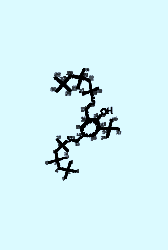 CC(C)(C)CC(C)(C)CC(C)(C)SCc1cc(CSC(C)(C)CC(C)(C)CC(C)(C)C)c(O)c(C(C)(C)C)c1